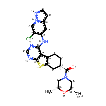 C[C@@H]1CN(C(=O)[C@H]2CCc3c(sc4ncnc(Nc5cc6ccnn6cc5Cl)c34)C2)C[C@H](C)O1